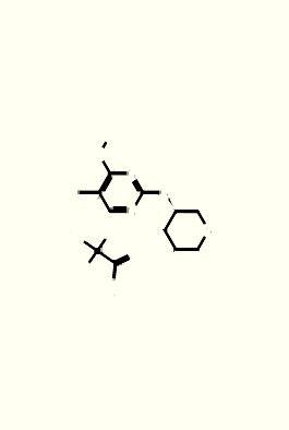 COc1nc(N[C@@H]2CCCNC2)ncc1Cl.O=C(O)C(F)(F)F